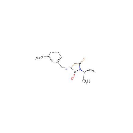 COc1cccc(/C=C2\SC(=S)N(C(C)C(=O)O)C2=O)c1